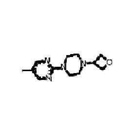 Cc1cnc(N2CCN(C3COC3)CC2)nc1